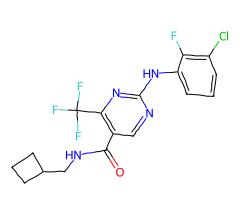 O=C(NCC1CCC1)c1cnc(Nc2cccc(Cl)c2F)nc1C(F)(F)F